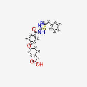 O=C(O)CC1CCC(Oc2ccc(C(=O)Nc3nnc(Cc4ccccc4)s3)cc2)CC1